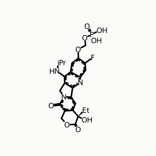 CC[C@@]1(O)C(=O)OCc2c1cc1n(c2=O)Cc2c-1nc1cc(F)c(OCOP(=O)(O)O)cc1c2NC(C)C